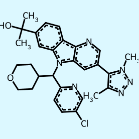 Cc1nnn(C)c1-c1cnc2c3ccc(C(C)(C)O)cc3n(C(c3ccc(Cl)cn3)C3CCOCC3)c2c1